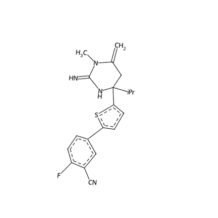 C=C1CC(c2ccc(-c3ccc(F)c(C#N)c3)s2)(C(C)C)NC(=N)N1C